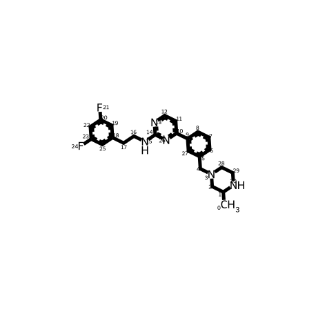 CC1CN(Cc2cccc(-c3ccnc(NCCc4cc(F)cc(F)c4)n3)c2)CCN1